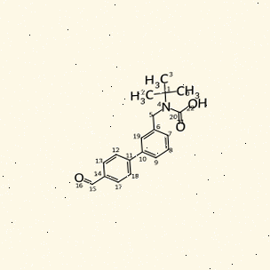 CC(C)(C)N(Cc1cccc(-c2ccc(C=O)cc2)c1)C(=O)O